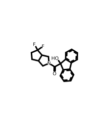 O=C(N1CC2CCC(F)(F)C2C1)C1(O)c2ccccc2-c2ccccc21